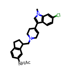 CC(=O)Nc1ccc2c(c1)C(CN1CC=C(c3cn(C)c4cc(Cl)ccc34)CC1)CC2